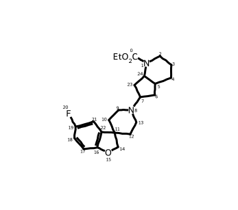 CCOC(=O)N1CCCC2CC(N3CCC4(CC3)COc3ccc(F)cc34)CC21